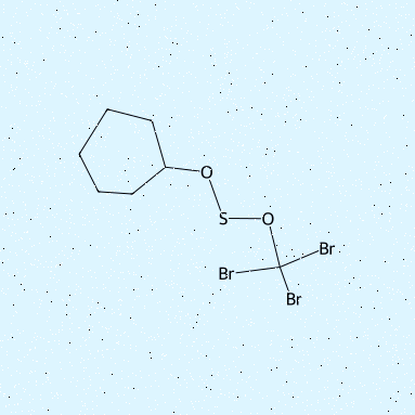 BrC(Br)(Br)OSOC1CCCCC1